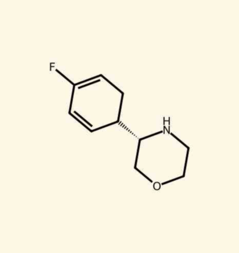 FC1=CCC([C@H]2COCCN2)C=C1